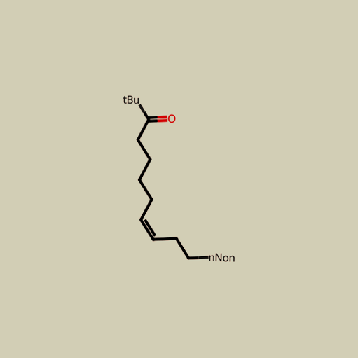 CCCCCCCCCCC/C=C\CCCCC(=O)C(C)(C)C